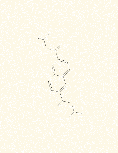 O=C(OC(C(F)(F)F)C(F)(F)F)c1ccc2cc(C(=O)OC(C(F)(F)F)C(F)(F)F)ccc2c1